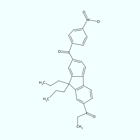 CCCC1(CCC)c2cc(C(=O)CC)ccc2-c2ccc(C(=O)c3ccc([N+](=O)[O-])cc3)cc21